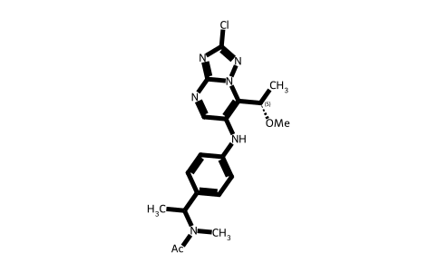 CO[C@@H](C)c1c(Nc2ccc(C(C)N(C)C(C)=O)cc2)cnc2nc(Cl)nn12